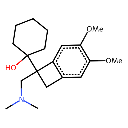 COc1cc2c(cc1OC)C(CN(C)C)(C1(O)CCCCC1)C2